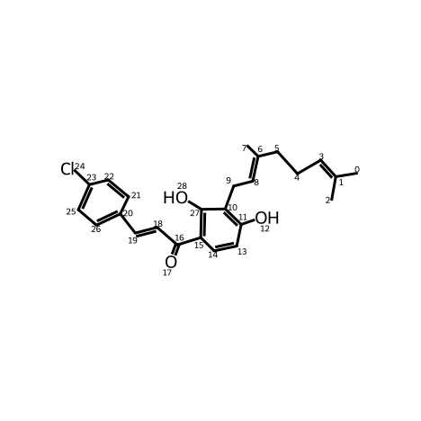 CC(C)=CCC/C(C)=C/Cc1c(O)ccc(C(=O)C=Cc2ccc(Cl)cc2)c1O